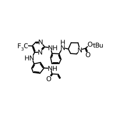 C=CC(=O)Nc1cccc(Nc2nc(Nc3ccccc3NC3CCN(C(=O)OC(C)(C)C)CC3)ncc2C(F)(F)F)c1